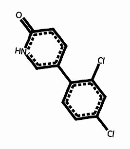 O=c1ccc(-c2ccc(Cl)cc2Cl)c[nH]1